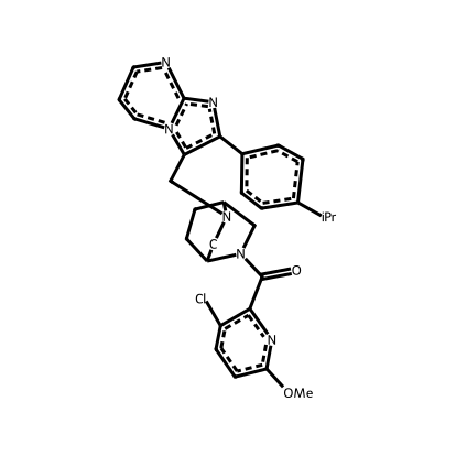 COc1ccc(Cl)c(C(=O)N2CC3CCC2CN3Cc2c(-c3ccc(C(C)C)cc3)nc3ncccn23)n1